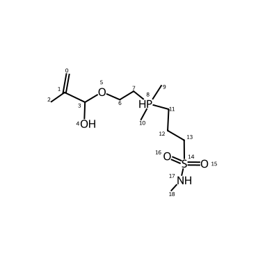 C=C(C)C(O)OCC[PH](C)(C)CCCS(=O)(=O)NC